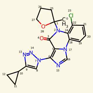 CC1(n2c(=O)c3c(-n4cc(C5CC5)nn4)ncn3c3cccc(Cl)c32)CCCO1